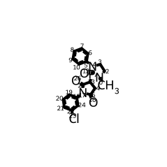 CN1CCN(c2ccccc2)P1(=O)C1CC(=O)N(c2cccc(Cl)c2)C1=O